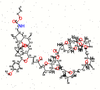 C=CCOC(=O)NC[C@H]1C[C@@H]([C@@H](C)CC(=O)C[C@H](C)[C@@H](/C=C/C(=O)C[C@H]2O[C@H]3[C@H](C)[C@H]4OC(=O)C[C@H]5CC[C@@H]6O[C@@H]7[C@H]8O[C@@H]9C[C@](CC[C@H]%10CC(=C)[C@H](CC[C@H]%11C[C@@H](C)C(=C)[C@@H](C[C@@H]4O[C@H]3C[C@H]2C)O%11)O%10)(O[C@H]8[C@H]6O5)O[C@H]79)OCc2ccc(OC)cc2)[C@@H](O[Si](C)(C)C(C)(C)C)C[C@H]1C